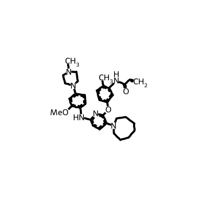 C=CC(=O)Nc1cc(Oc2nc(Nc3ccc(N4CCN(C)CC4)cc3OC)ccc2N2CCCCCCC2)ccc1C